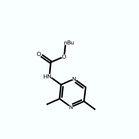 CCCCOC(=O)Nc1ncc(C)nc1C